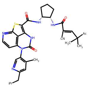 CC(=O)C(C)(C)/C=C(\C#N)C(=O)N[C@H]1CCC[C@H]1NC(=O)c1sc2nccc3c2c1NC(=O)N3c1cnc(CC(C)C)cc1C